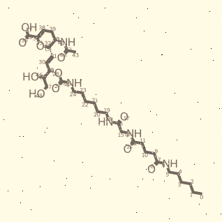 CCCCCCNC(=O)CCCC(=O)NCC(=O)NCCCCCCNC(=O)O[C@@H](C=C[C@@H]1OC(C(=O)O)=CC[C@H]1NC(C)=O)[C@H](O)CO